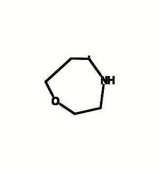 [CH]1CCOCCN1